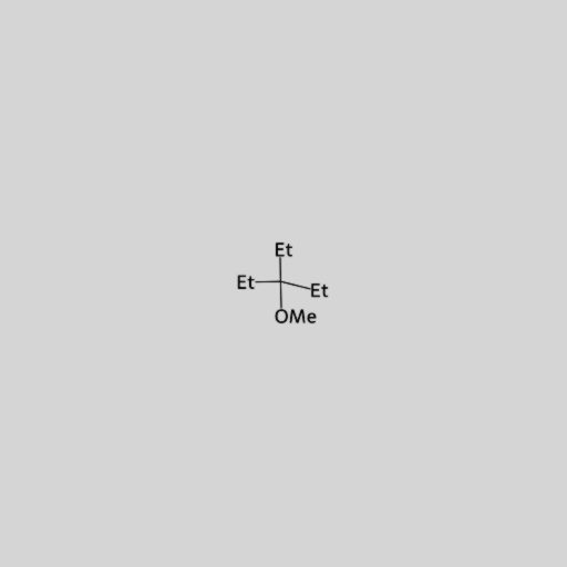 CCC(CC)(CC)OC